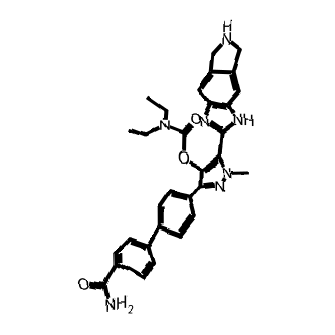 CCN(CC)C(=O)Oc1c(-c2ccc(-c3ccc(C(N)=O)cc3)cc2)nn(C)c1-c1nc2cc3c(cc2[nH]1)CNC3